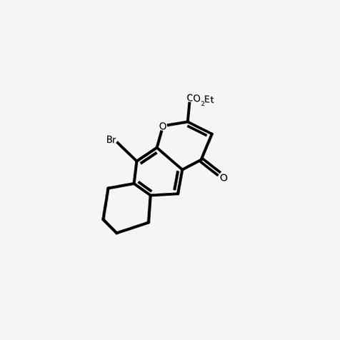 CCOC(=O)c1cc(=O)c2cc3c(c(Br)c2o1)CCCC3